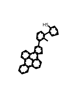 Cc1c(-c2ccc3c(c2)c2cccc4c5ccccc5c5cccc3c5c42)cccc1-c1ccccc1S